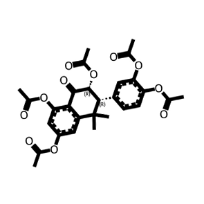 CC(=O)Oc1cc(OC(C)=O)c2c(c1)C(C)(C)[C@@H](c1ccc(OC(C)=O)c(OC(C)=O)c1)[C@@H](OC(C)=O)C2=O